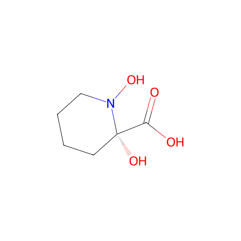 O=C(O)[C@@]1(O)CCCCN1O